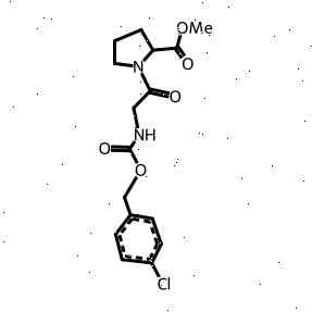 COC(=O)C1CCCN1C(=O)CNC(=O)OCc1ccc(Cl)cc1